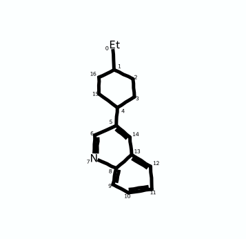 CCC1CCC(c2cnc3ccccc3c2)CC1